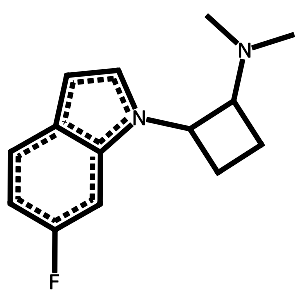 CN(C)C1CCC1n1ccc2ccc(F)cc21